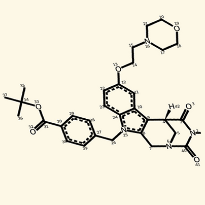 CN1C(=O)[C@@H]2CN(Cc3c2c2cc(OCCN4CCOCC4)ccc2n3Cc2ccc(C(=O)OC(C)(C)C)cc2)C1=O